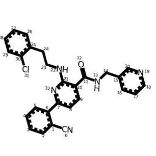 N#Cc1ccccc1-c1ccc(C(=O)NCc2cccnc2)c(NCCc2ccccc2Cl)n1